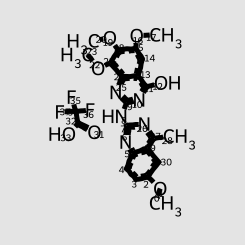 COc1ccc2nc(Nc3nc(O)c4cc(OC)c(OC)c(OC)c4n3)nc(C)c2c1.O=C(O)C(F)(F)F